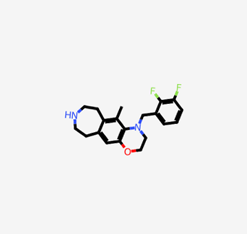 Cc1c2c(cc3c1N(Cc1cccc(F)c1F)CCO3)CCNCC2